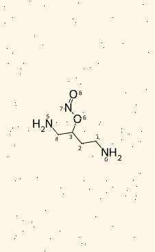 NCCC(CN)ON=O